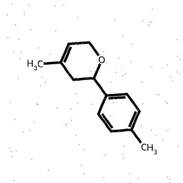 CC1=CCOC(c2ccc(C)cc2)C1